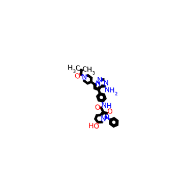 CC(C)C(=O)N1CCC(c2cc(-c3ccc(NC(=O)c4c5n(n(-c6ccccc6)c4=O)CC(O)CC5)cc3)c3c(N)ncnn23)CC1